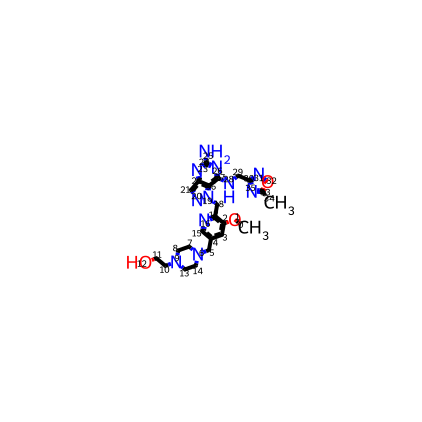 COc1cc(CN2CCN(CCO)CC2)cnc1Cn1ncc2nc(N)nc(NCc3noc(C)n3)c21